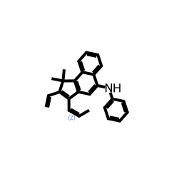 C=CC1=C(/C=C\C)c2cc(Nc3ccccc3)c3ccccc3c2C1(C)C